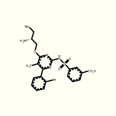 Cc1c(OC[C@H](N)CC(C)(C)C)nc(NS(=O)(=O)c2cccc(C(=O)O)c2)nc1-c1ccccc1C(C)C